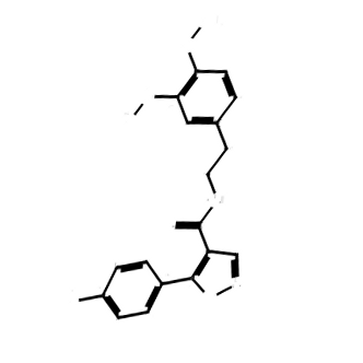 COc1ccc(CCNC(=O)c2cnoc2-c2ccc(C)cc2)cc1OC